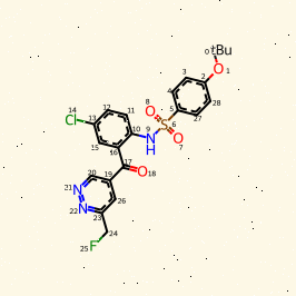 CC(C)(C)Oc1ccc(S(=O)(=O)Nc2ccc(Cl)cc2C(=O)c2cnnc(CF)c2)cc1